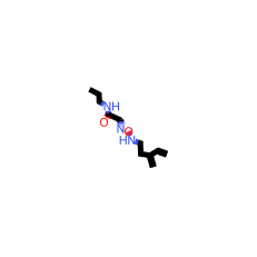 C=CC(=C)CCNO/N=C/C(=O)NCCC